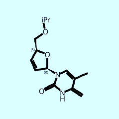 C=C1NC(=O)N([C@H]2C=C[C@@H](COC(C)C)O2)C=C1C